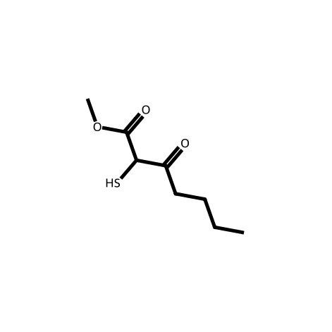 CCCCC(=O)C(S)C(=O)OC